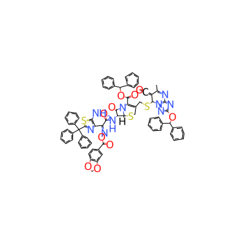 CC1=Nc2nc(OC(c3ccccc3)c3ccccc3)nn2C(SCC2=C(C(=O)OC(c3ccccc3)c3ccccc3)N3C(=O)[C@@H](NC(=O)C(=NOC(=O)c4ccc5c(c4)OCO5)c4nc(C(c5ccccc5)(c5ccccc5)c5ccccc5)sc4N)[C@H]3SC2)C1=C=O